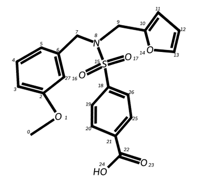 COc1cccc(CN(Cc2ccco2)S(=O)(=O)c2ccc(C(=O)O)cc2)c1